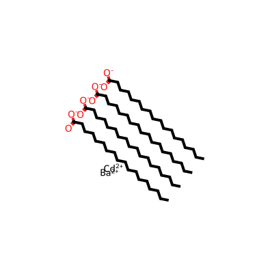 CCCCCCCCCCCCCCCCCC(=O)[O-].CCCCCCCCCCCCCCCCCC(=O)[O-].CCCCCCCCCCCCCCCCCC(=O)[O-].CCCCCCCCCCCCCCCCCC(=O)[O-].[Ba+2].[Cd+2]